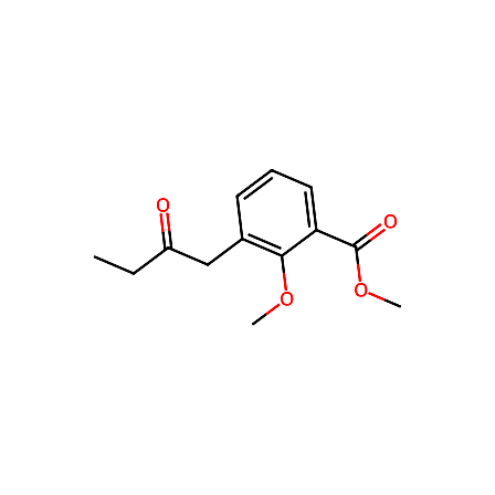 CCC(=O)Cc1cccc(C(=O)OC)c1OC